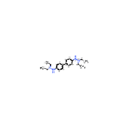 CCN(CC)Nc1ccc(-c2ccc(NN(CC)CC)cc2)cc1